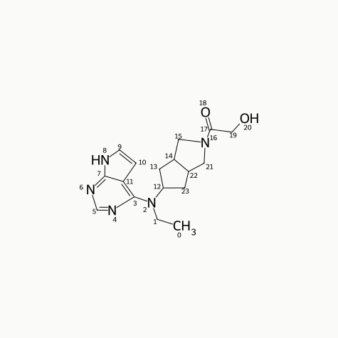 CCN(c1ncnc2[nH]ccc12)C1CC2CN(C(=O)CO)CC2C1